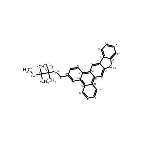 COC(C)(C)C(C)(C)OCc1ccc2c(c1)c1ccccc1c1cc3sc4ccccc4c3cc21